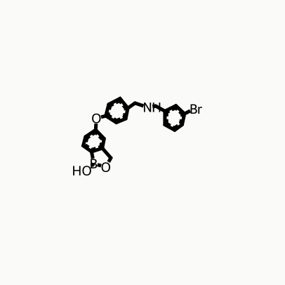 OB1OCc2cc(Oc3ccc(CNCc4cccc(Br)c4)cc3)ccc21